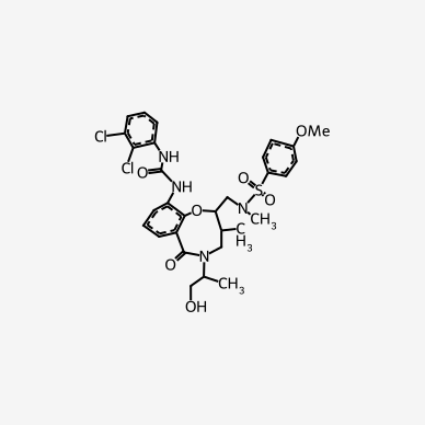 COc1ccc(S(=O)(=O)N(C)CC2Oc3c(NC(=O)Nc4cccc(Cl)c4Cl)cccc3C(=O)N(C(C)CO)CC2C)cc1